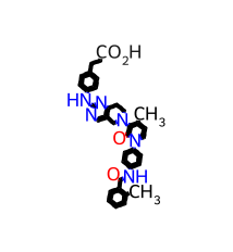 Cc1ccccc1C(=O)Nc1ccc(-n2ccc(C)c(N3CCc4nc(Nc5ccc(CCC(=O)O)cc5)ncc4C3)c2=O)cc1